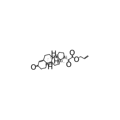 C=CCOC(=O)C(=O)[C@H]1CC[C@H]2[C@@H]3CCC4=CC(=O)CC[C@]4(C)[C@H]3CC[C@]12C